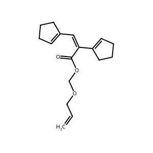 C=CCOCOC(=O)C(=CC1=CCCC1)C1=CCCC1